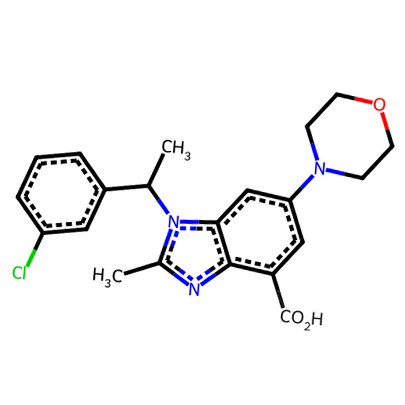 Cc1nc2c(C(=O)O)cc(N3CCOCC3)cc2n1C(C)c1cccc(Cl)c1